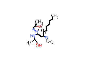 C=C(Br)/C=N\N(C)/C(=C\C(CCCCCCC)=N/C)NC(C)CO